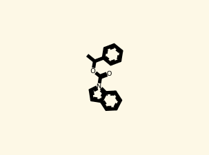 CC(OC(=O)n1ccc2ccccc21)c1ccccc1